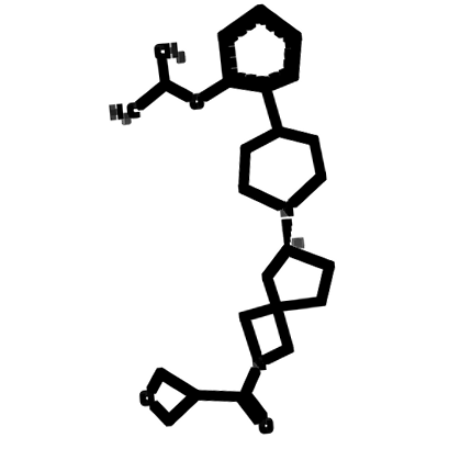 CC(C)Oc1ccccc1C1CCN([C@@H]2CCC3(C2)CN(C(=O)C2COC2)C3)CC1